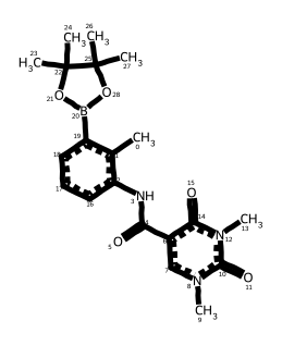 Cc1c(NC(=O)c2cn(C)c(=O)n(C)c2=O)cccc1B1OC(C)(C)C(C)(C)O1